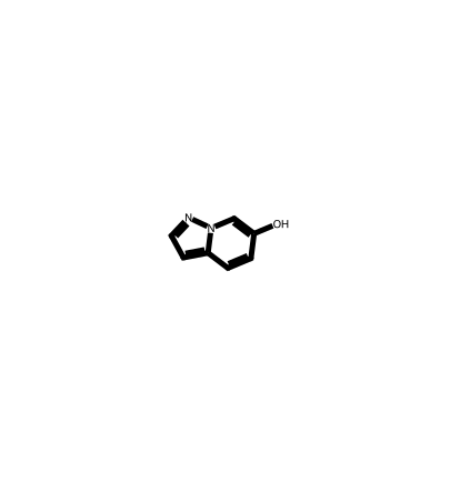 Oc1ccc2ccnn2c1